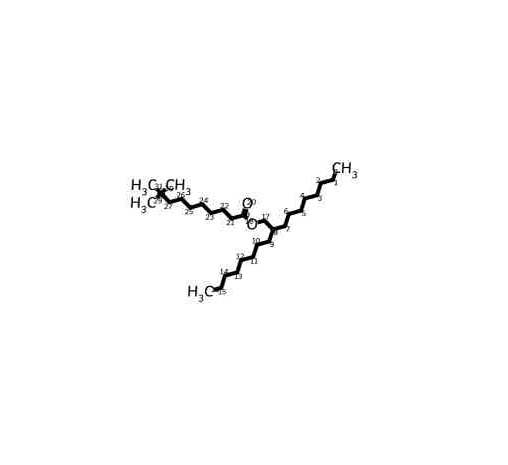 CCCCCCCCC(CCCCCCCC)COC(=O)CCCCCCCC(C)(C)C